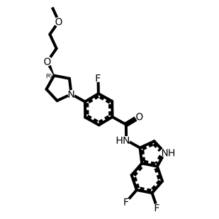 COCCO[C@@H]1CCN(c2ccc(C(=O)Nc3c[nH]c4cc(F)c(F)cc34)cc2F)C1